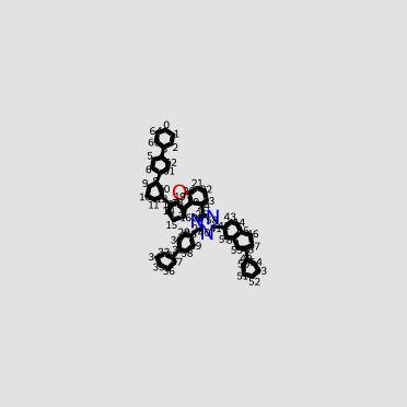 c1ccc(-c2ccc(-c3cccc(-c4cccc5c4oc4cccc(-c6nc(-c7ccc(-c8ccccc8)cc7)nc(-c7ccc8ccc(-c9ccccc9)cc8c7)n6)c45)c3)cc2)cc1